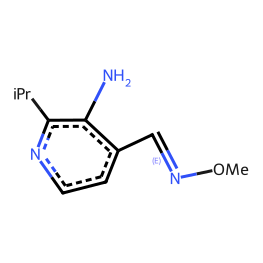 CO/N=C/c1ccnc(C(C)C)c1N